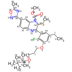 CCc1cc(OCCCO[Si](C)(C)C(C)(C)C)c(F)c(C(=N/c2ccc(-c3noc(C)n3)cc2)/C(=N/C(=O)OC)SC)c1